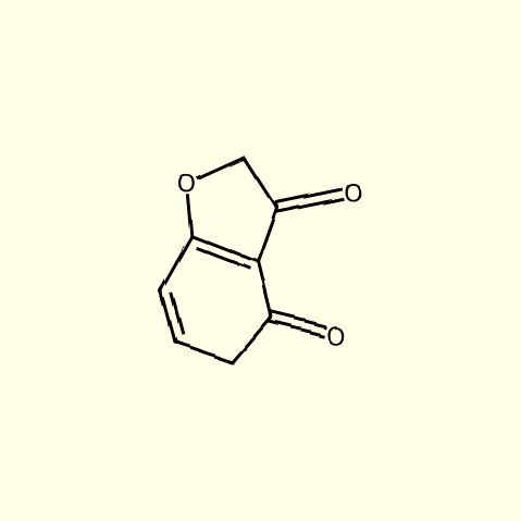 O=C1CC=CC2=C1C(=O)CO2